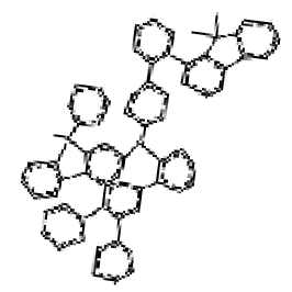 CC1(C)c2ccccc2-c2cccc(-c3ccccc3-c3ccc(N(c4ccc5c(c4)C(C)(c4ccccc4)c4ccccc4-5)c4ccccc4-c4ccc(-c5ccccc5)c(-c5ccccc5)c4)cc3)c21